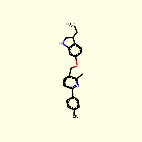 Cc1nc(-c2ccc(C(F)(F)F)cc2)ccc1COc1ccc2c(c1)NCC2CC(=O)O